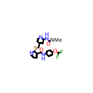 CNC(=O)Nc1cc(CSc2ncccc2C(=O)Nc2ccc(OC(F)F)cc2)ccn1